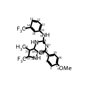 COc1ccc(C(=O)/N=C(/Nc2cccc(C(F)(F)F)c2)NC2NNC(C(F)(F)F)C2C)cc1